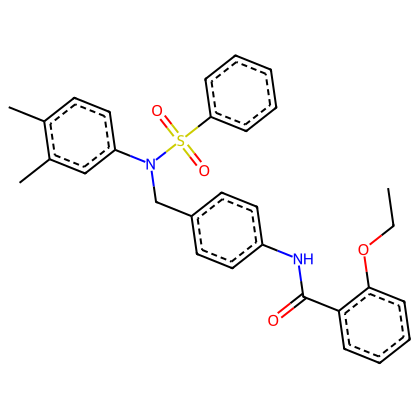 CCOc1ccccc1C(=O)Nc1ccc(CN(c2ccc(C)c(C)c2)S(=O)(=O)c2ccccc2)cc1